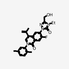 C=C(C)c1cn(-c2cc(C)ccc2C)c(=O)c2cc(F)c(-n3nc(CO)n(CC)c3=O)cc12